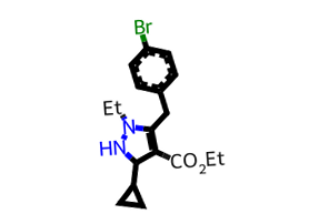 CCOC(=O)C1=C(Cc2ccc(Br)cc2)N(CC)NC1C1CC1